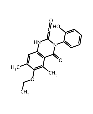 CCOc1c(C)cc2c(c1C)C(=O)N(c1ccccc1O)C(=C=O)N2